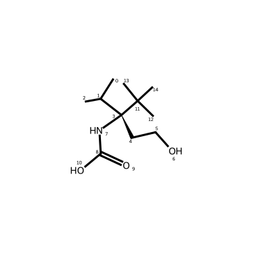 CC(C)[C@@](CCO)(NC(=O)O)C(C)(C)C